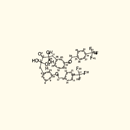 O=C(C(O)(O)Cc1cccc(OCc2ccc(C(F)(F)F)cc2)c1)C(O)(O)Cc1cccc(OCc2ccc(C(F)(F)F)cc2)c1